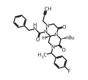 C#CCN1CC(=O)N2[C@@H](CCCC)C(=O)N(C(C)c3ccc(F)cc3)C[C@@H]2N1C(=O)NCc1ccccc1